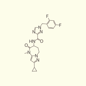 CN1C(=O)C(NC(=O)c2ncn(Cc3ccc(F)cc3F)n2)CCn2nc(C3CC3)cc21